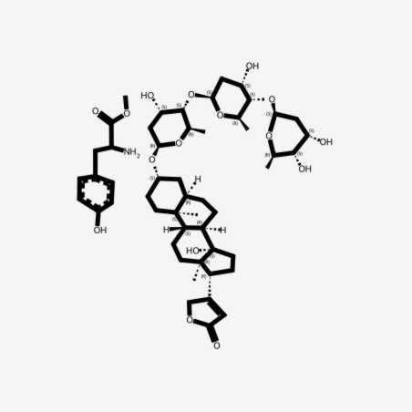 COC(=O)C(N)Cc1ccc(O)cc1.C[C@H]1O[C@@H](O[C@H]2[C@@H](O)C[C@H](O[C@H]3[C@@H](O)C[C@H](O[C@H]4CC[C@@]5(C)[C@H](CC[C@@H]6[C@@H]5CC[C@]5(C)[C@@H](C7=CC(=O)OC7)CC[C@]65O)C4)O[C@@H]3C)O[C@@H]2C)C[C@H](O)[C@@H]1O